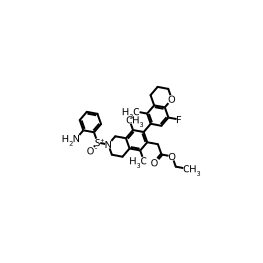 CCOC(=O)Cc1c(C)c2c(c(C)c1-c1cc(F)c3c(c1C)CCCO3)CN([S+]([O-])c1ccccc1N)CC2